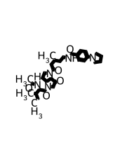 CCC(C)C(NC(C)=O)C(=O)N1CC(=O)C2C1CCN2C(=O)CC(C)CCNC(=O)c1ccc(N2CCCC2)cc1